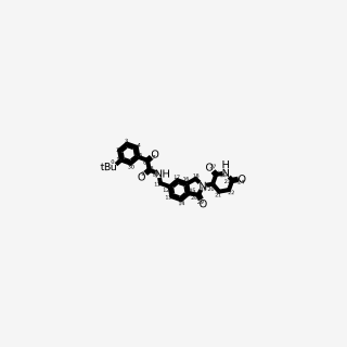 CC(C)(C)c1cccc(C(=O)C(=O)NCc2ccc3c(c2)CN(C2CCC(=O)NC2=O)C3=O)c1